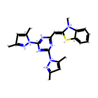 Cc1cc(C)n(-c2nc(/C=C3\Sc4ccccc4N3C)nc(-n3nc(C)cc3C)n2)n1